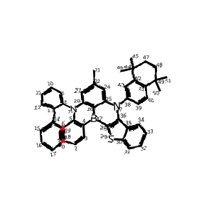 Cc1ccc2c(c1)N(c1ccccc1-c1ccccc1)c1cc(C)cc3c1B2c1sc2ccccc2c1N3c1ccc2c(c1)C(C)(C)CCC2(C)C